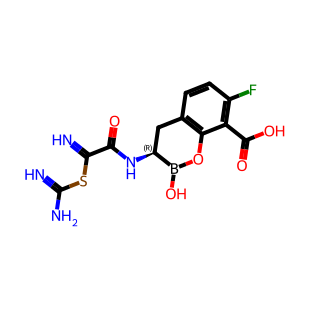 N=C(N)SC(=N)C(=O)N[C@H]1Cc2ccc(F)c(C(=O)O)c2OB1O